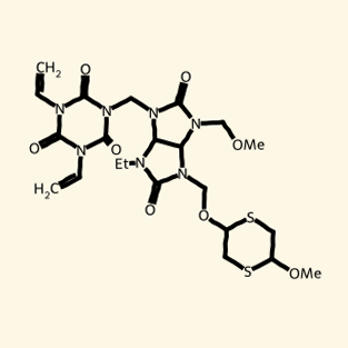 C=Cn1c(=O)n(C=C)c(=O)n(CN2C(=O)N(COC)C3C2N(CC)C(=O)N3COC2CSC(OC)CS2)c1=O